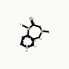 CN1CC(=O)N(I)c2ccncc2C1